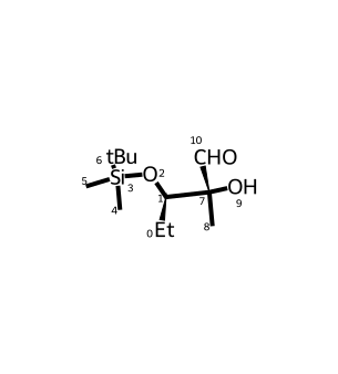 CC[C@@H](O[Si](C)(C)C(C)(C)C)[C@@](C)(O)C=O